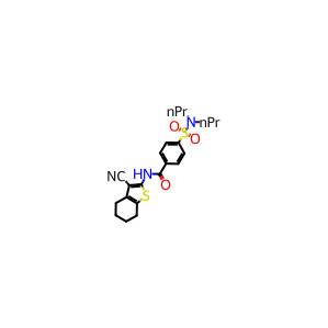 CCCN(CCC)S(=O)(=O)c1ccc(C(=O)Nc2sc3c(c2C#N)CCCC3)cc1